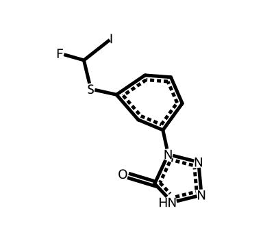 O=c1[nH]nnn1-c1cccc(SC(F)I)c1